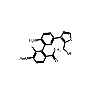 COc1ccc(C(N)=O)c(-c2cc(-c3ccsc3CO)ccc2N)c1I